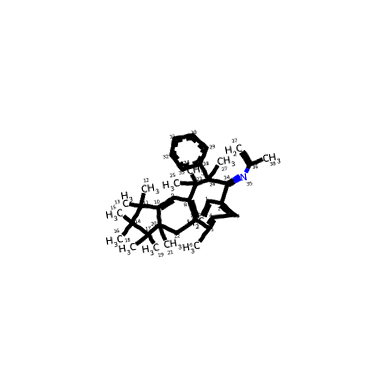 C=C/C1=C\C=C(/C)C2=C(C=C3C(C)(C)C(C)(C)C(C)(C)C3(C)C2)C(C)(C)C(C)(c2ccccc2)\C1=N/C(=C)C